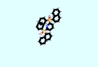 O=P(c1ccccc1)(c1cccc(P(=O)(c2ccccc2)c2cccc3ccccc23)n1)c1cccc2ccccc12